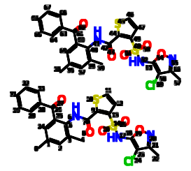 Cc1cc(C)c(NC(=O)c2sccc2S(=O)(=O)Nc2onc(C)c2Cl)c(C(=O)c2ccccc2)c1.Cc1cc(C)c(NC(=O)c2sccc2S(=O)(=O)Nc2onc(C)c2Cl)c(C(=O)c2ccccc2)c1